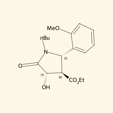 CCCCN1C(=O)[C@@H](O)[C@H](C(=O)OCC)[C@H]1c1ccccc1OC